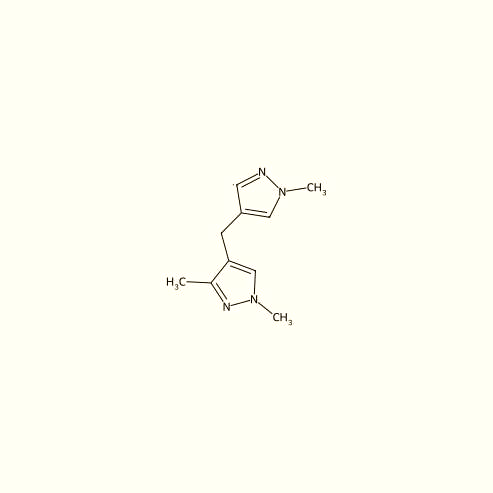 Cc1nn(C)cc1Cc1[c]nn(C)c1